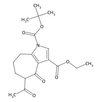 CCOC(=O)c1cn(C(=O)OC(C)(C)C)c2c1C(=O)C(C(C)=O)CCC2